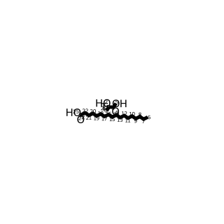 CC(O)C(=O)O.CCCCCCCCCCCCCCCCCC(=O)O.[Ti]